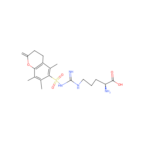 C=C1CCc2c(C)c(S(=O)(=O)NC(=N)NCCC[C@H](N)C(=O)O)c(C)c(C)c2O1